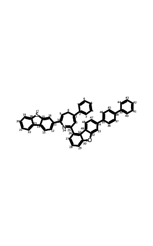 C1=C(c2ccccc2)CC=C(c2ccc3c(c2)sc2ccccc23)N=C1c1cccc2oc3cc(-c4ccc(-c5ccccc5)cc4)ccc3c12